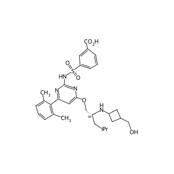 Cc1cccc(C)c1-c1cc(OC[C@@H](CC(C)C)NC2CC(CO)C2)nc(NS(=O)(=O)c2cccc(C(=O)O)c2)n1